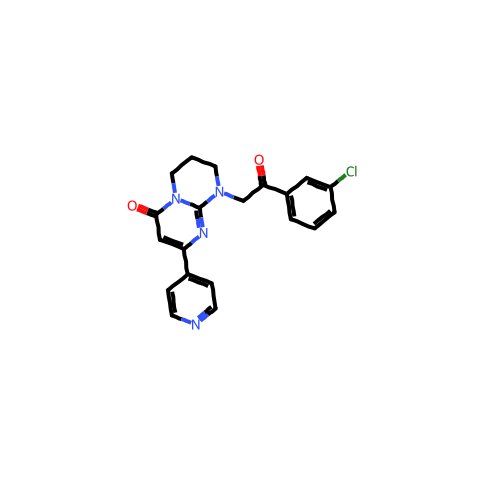 O=C(CN1CCCn2c1nc(-c1ccncc1)cc2=O)c1cccc(Cl)c1